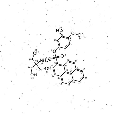 COc1ccc(OS(=O)(=O)c2ccc3ccc4cccc5ccc2c3c45)cc1.NC(CO)(CO)CO.S